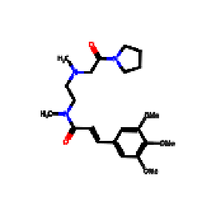 COc1cc(C=CC(=O)N(C)CCN(C)CC(=O)N2CCCC2)cc(OC)c1OC